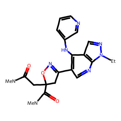 CCn1ncc2c(Nc3cccnc3)c(C3=NOC(CC(=O)NC)(C(=O)NC)C3)cnc21